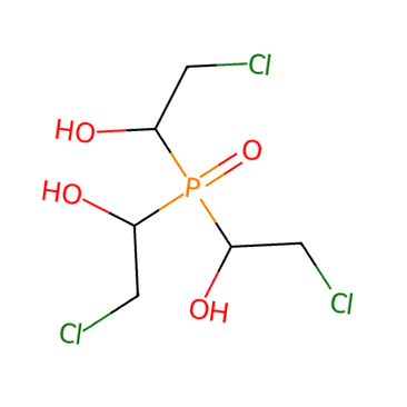 O=P(C(O)CCl)(C(O)CCl)C(O)CCl